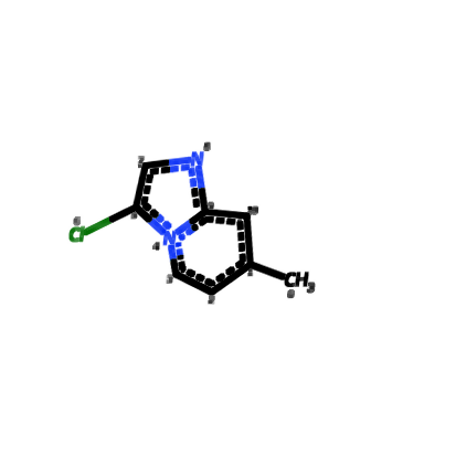 Cc1ccn2c(Cl)[c]nc2c1